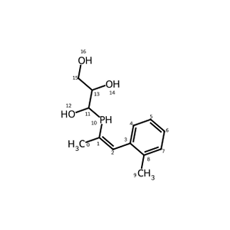 CC(=Cc1ccccc1C)PC(O)C(O)CO